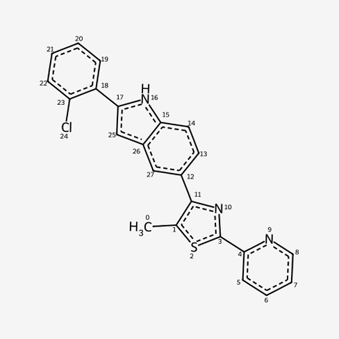 Cc1sc(-c2ccccn2)nc1-c1ccc2[nH]c(-c3ccccc3Cl)cc2c1